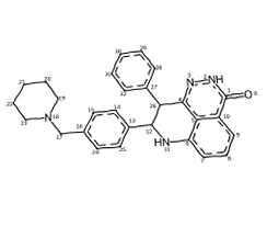 O=c1[nH]nc2c3c(cccc13)NC(c1ccc(CN3CCCCC3)cc1)C2c1ccccc1